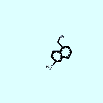 Cc1ccc2c(CC(C)C)cccc2c1